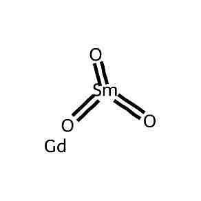 [Gd].[O]=[Sm](=[O])=[O]